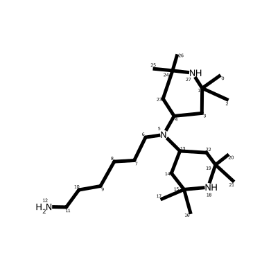 CC1(C)CC(N(CCCCCCN)C2CC(C)(C)NC(C)(C)C2)CC(C)(C)N1